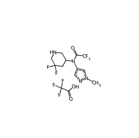 Cn1cc(N(C(=O)C(F)(F)F)C2CNCC(F)(F)C2)cn1.O=C(O)C(F)(F)F